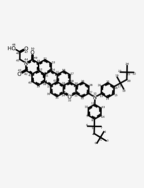 CC(C)(C)CC(C)(C)c1ccc(N(c2ccc(C(C)(C)CC(C)(C)C)cc2)c2ccc3c(c2)oc2ccc4c5ccc6c(=O)n(CC(=O)O)c(=O)c7ccc(c8ccc3c2c48)c5c67)cc1